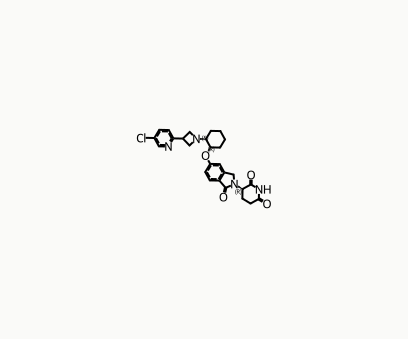 O=C1CC[C@@H](N2Cc3cc(O[C@@H]4CCCC[C@@H]4N4CC(c5ccc(Cl)cn5)C4)ccc3C2=O)C(=O)N1